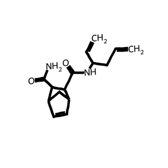 C=CCC(C=C)NC(=O)C1C2C=CC(C2)C1C(N)=O